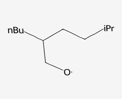 CCCCC(C[O])CCC(C)C